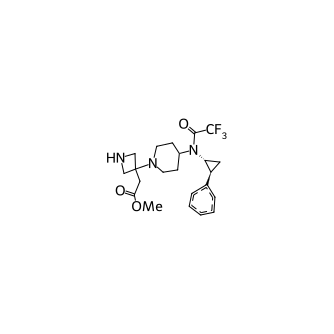 COC(=O)CC1(N2CCC(N(C(=O)C(F)(F)F)[C@@H]3C[C@H]3c3ccccc3)CC2)CNC1